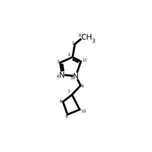 CCc1cnn(CC2CCC2)c1